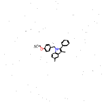 Cc1ccc2c(c1)c(C)c(-c1ccccc1)n2Cc1ccc(OCC#N)cc1